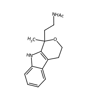 CC(=O)NCCC1(C)OCCc2c1[nH]c1ccccc21